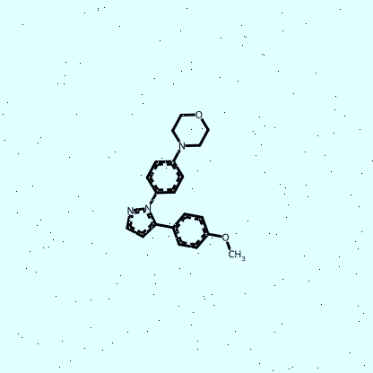 COc1ccc(-c2ccnn2-c2ccc(N3CCOCC3)cc2)cc1